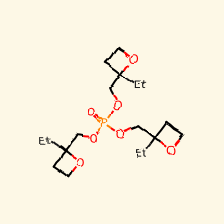 CCC1(COP(=O)(OCC2(CC)CCO2)OCC2(CC)CCO2)CCO1